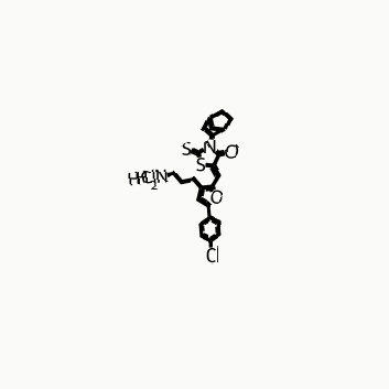 Cl.NCCCc1cc(-c2ccc(Cl)cc2)oc1/C=C1\SC(=S)N(C2CC3CCC2C3)C1=O